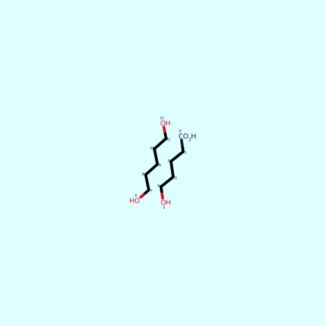 O=C(O)CCCCO.OCCCCCO